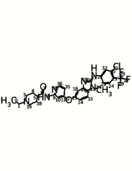 CCN1CCC(C(=O)Nc2cc(Oc3ccc4c(c3)nc(Nc3ccc(C(F)(F)F)c(Cl)c3)n4C)ccn2)CC1